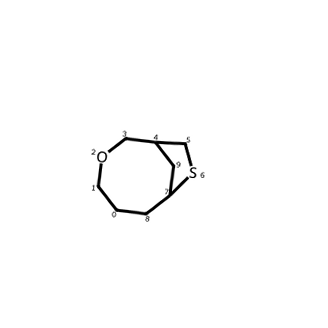 C1COCC2CSC(C1)C2